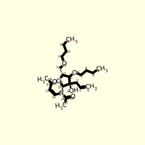 C=CC[C@@]1(O)C(OCCCC)[C@@H](COCCCC)O[C@H]1N(/C=C\C(C)=O)C(C)=O